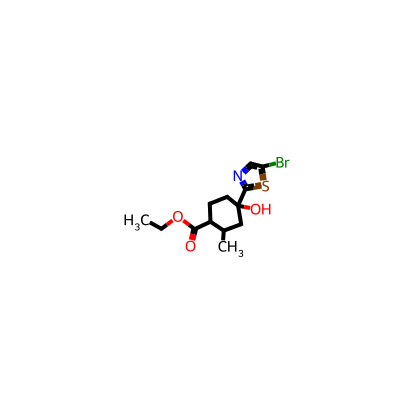 CCOC(=O)C1CCC(O)(c2ncc(Br)s2)CC1C